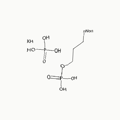 CCCCCCCCCCCCOP(=O)(O)O.O=P(O)(O)O.[KH]